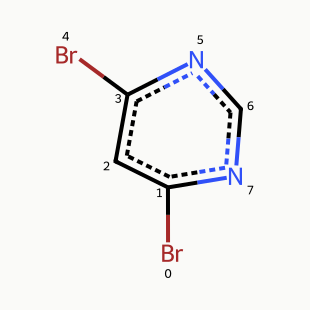 Brc1cc(Br)ncn1